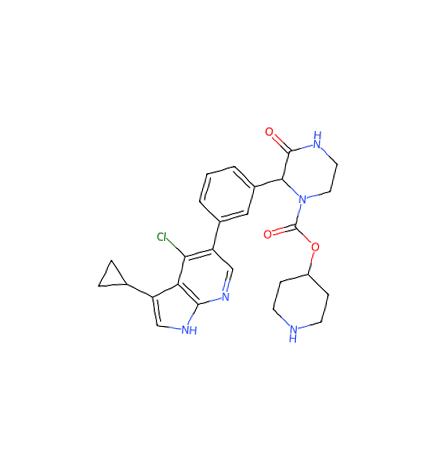 O=C1NCCN(C(=O)OC2CCNCC2)C1c1cccc(-c2cnc3[nH]cc(C4CC4)c3c2Cl)c1